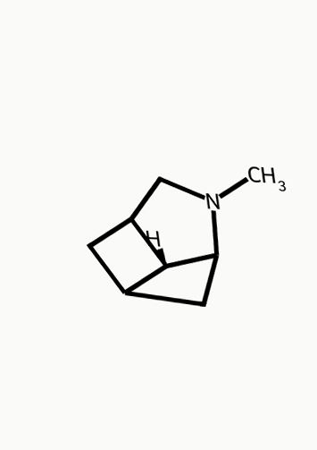 CN1CC2CC3CC1[C@H]32